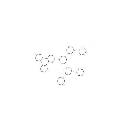 Cc1cccc(-c2cccc(-c3cc(-c4ccc5c6ccccc6c6ccccc6c5c4)cc(-c4nc(-c5ccccc5)cc(-c5ccccc5)n4)c3)c2)n1